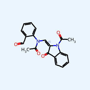 CC(=O)N(/C=C1\C(=O)c2ccccc2N1C(C)=O)c1ccccc1C=O